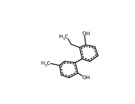 CCc1c(O)cccc1-c1cc(C)ccc1O